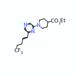 CCOC(=O)C1CCN(c2cncc(/C=C/CCC(F)(F)F)n2)CC1